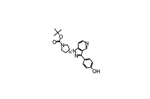 CC(C)(C)OC(=O)N1CC[C@@H](n2nc(-c3ccc(O)cc3)c3cnccc32)C1